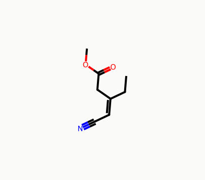 CC/C(=C/C#N)CC(=O)OC